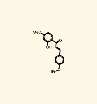 COc1ccc(C(=O)/C=C/c2ccc(OC(C)C)cc2)c(O)c1